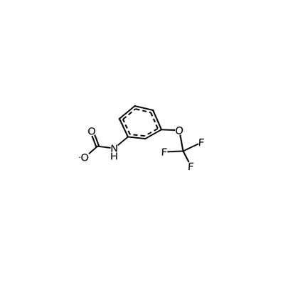 [O]C(=O)Nc1cccc(OC(F)(F)F)c1